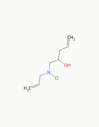 C=CCC(O)CN(Cl)CC=C